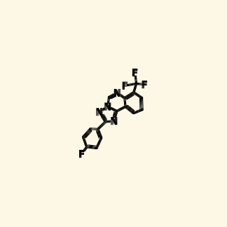 Fc1ccc(-c2nc3c4cccc(C(F)(F)F)c4ncn3n2)cc1